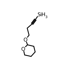 [SiH3]C#CCCOC1CCCCO1